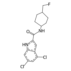 O=C(NC1CCC(CF)CC1)c1cc2c(Cl)cc(Cl)cc2[nH]1